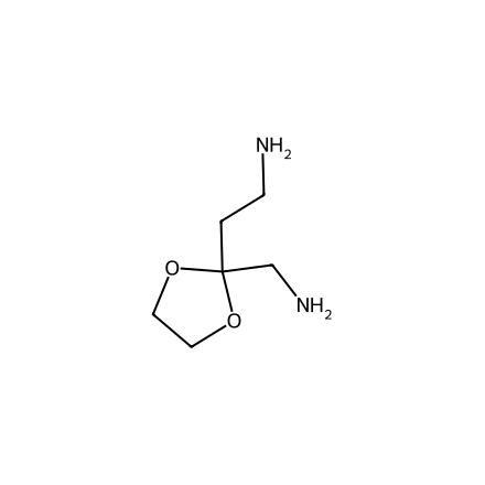 NCCC1(CN)OCCO1